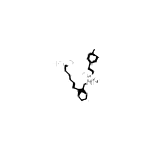 Cc1ccc(C=CS(=O)(=O)NCC2C3CCC(C3)C2C=CCCCC(=O)O)cc1